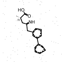 C[C@@H](CC(=N)Cc1cccc(-c2ccccc2)c1)C(=O)O